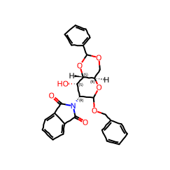 O=C1c2ccccc2C(=O)N1[C@H]1C(OCc2ccccc2)O[C@@H]2COC(c3ccccc3)O[C@H]2[C@H]1O